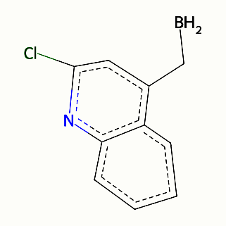 BCc1cc(Cl)nc2ccccc12